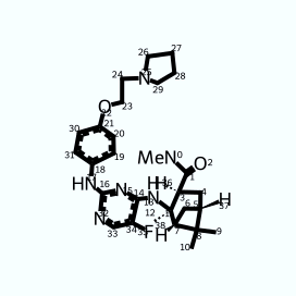 CNC(=O)[C@H]1C[C@H]2C[C@H](C2(C)C)[C@@]1(C)Nc1nc(Nc2ccc(OCCN3CCCC3)cc2)ncc1F